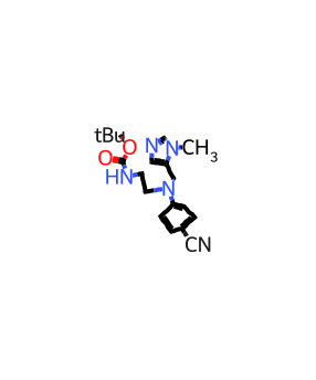 Cn1cncc1CN(CCNC(=O)OC(C)(C)C)c1ccc(C#N)cc1